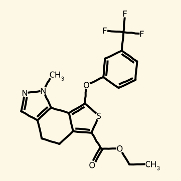 CCOC(=O)c1sc(Oc2cccc(C(F)(F)F)c2)c2c1CCc1cnn(C)c1-2